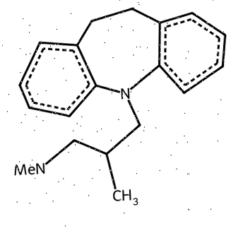 CNCC(C)CN1c2ccccc2CCc2ccccc21